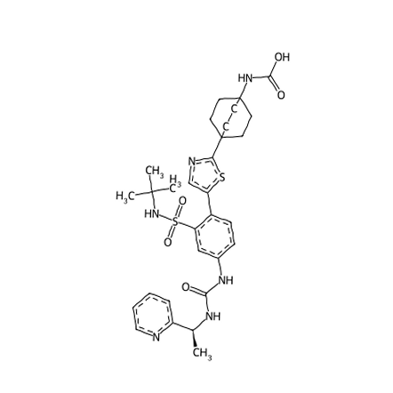 C[C@H](NC(=O)Nc1ccc(-c2cnc(C34CCC(NC(=O)O)(CC3)CC4)s2)c(S(=O)(=O)NC(C)(C)C)c1)c1ccccn1